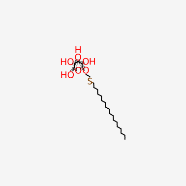 CCCCCCCCCCCCCCCCCCSCCO[C@H]1O[C@H](CO)[C@H](O)[C@H](O)[C@H]1O